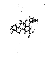 Cc1cccc2c1CCC[C@@H]2C(=O)N(Cc1cn[nH]c1)c1ccc(C(C)C)nc1